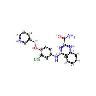 NC(=O)c1nc(Nc2ccc(OCc3cccnc3)c(Cl)c2)c2c[c]ccc2n1